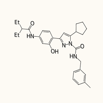 CCC(CC)C(=O)Nc1ccc(-c2cc(C3CCCC3)n(C(=O)NCc3cccc(C)c3)n2)c(O)c1